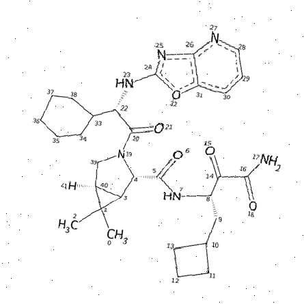 CC1(C)C2[C@@H](C(=O)N[C@@H](CC3CCC3)C(=O)C(N)=O)N(C(=O)[C@@H](Nc3nc4ncccc4o3)C3CCCCC3)C[C@@H]21